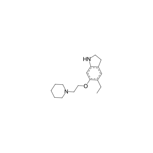 CCc1cc2c(cc1OCCN1CCCCC1)NCC2